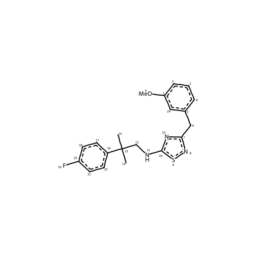 COc1cccc(Cc2nsc(NCC(C)(C)c3ccc(F)cc3)n2)c1